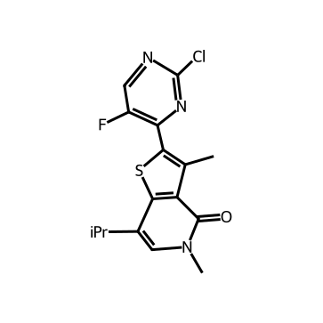 Cc1c(-c2nc(Cl)ncc2F)sc2c(C(C)C)cn(C)c(=O)c12